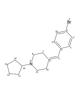 Brc1ccc(C=C2CCN(C3CCCC3)CC2)cc1